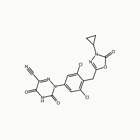 N#Cc1nn(-c2cc(Cl)c(Cc3nn(C4CC4)c(=O)o3)c(Cl)c2)c(=O)[nH]c1=O